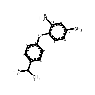 CC(C)c1ccc(Oc2ccc(N)cc2N)cc1